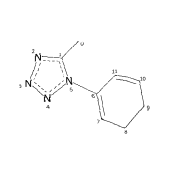 Cc1nnnn1C1=CCCC=C1